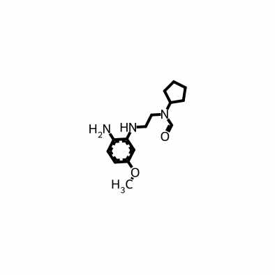 COc1ccc(N)c(NCCN(C=O)C2CCCC2)c1